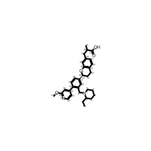 CCC1CCCCN1Cc1cc([C@@H]2CCc3ccc(CC(C)C(=O)O)cc3O2)ccc1-c1ccnc(OC)c1